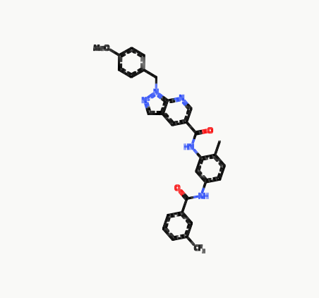 COc1ccc(Cn2ncc3cc(C(=O)Nc4cc(NC(=O)c5cccc(C(F)(F)F)c5)ccc4C)cnc32)cc1